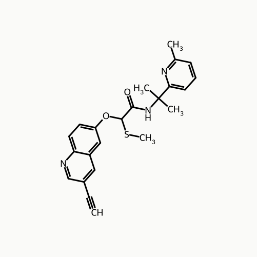 C#Cc1cnc2ccc(OC(SC)C(=O)NC(C)(C)c3cccc(C)n3)cc2c1